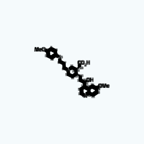 COc1ccc(SCCCN2CC[C@@H](CC[C@@H](O)c3ccnc4ccc(OC)cc34)[C@@H](CC(=O)O)C2)cc1